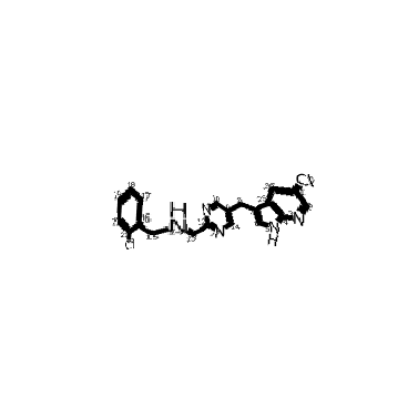 Clc1cnc2[nH]cc(Cc3cnc(CNCc4ccccc4Cl)nc3)c2c1